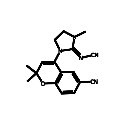 CN1CCN(C2=CC(C)(C)Oc3ccc(C#N)cc32)C1=NC#N